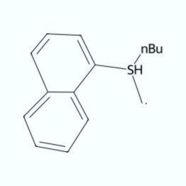 [CH2][SH](CCCC)c1cccc2ccccc12